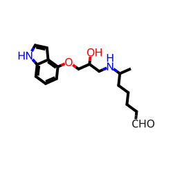 CC(CCCCC=O)NCC(O)COc1cccc2[nH]ccc12